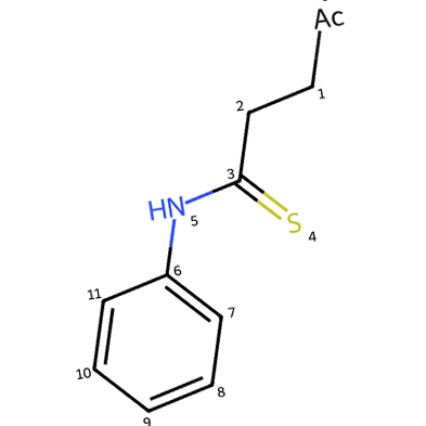 CC(=O)CCC(=S)Nc1ccccc1